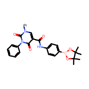 CC(C)n1cc(C(=O)Nc2ccc(B3OC(C)(C)C(C)(C)O3)cc2)c(=O)n(-c2ccccc2)c1=O